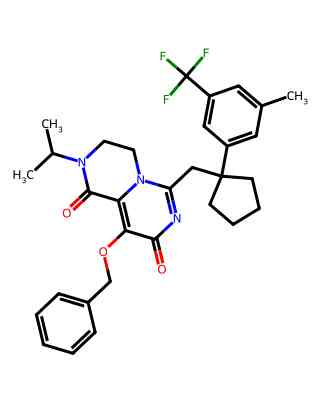 Cc1cc(C(F)(F)F)cc(C2(Cc3nc(=O)c(OCc4ccccc4)c4n3CCN(C(C)C)C4=O)CCCC2)c1